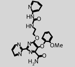 COc1ccccc1Oc1c(OCCNC(=O)Nc2ccccn2)nc(-c2ncccn2)nc1C(N)=O